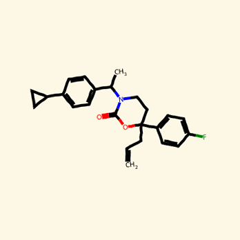 C=CCC1(c2ccc(F)cc2)CCN(C(C)c2ccc(C3CC3)cc2)C(=O)O1